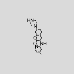 Cc1ccnc(Nc2cc3ccc(N4CCNCC4)cc3oc2=O)c1